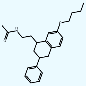 CCCCOc1ccc2c(c1)C(CCNC(C)=O)CC(c1ccccc1)C2